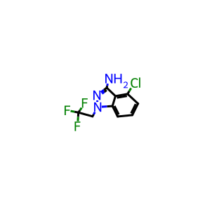 Nc1nn(CC(F)(F)F)c2cccc(Cl)c12